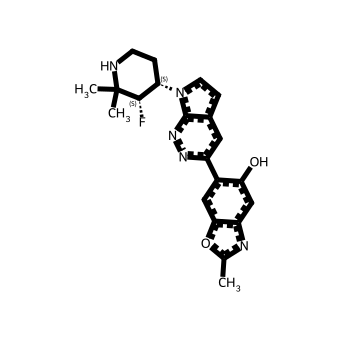 Cc1nc2cc(O)c(-c3cc4ccn([C@H]5CCNC(C)(C)[C@H]5F)c4nn3)cc2o1